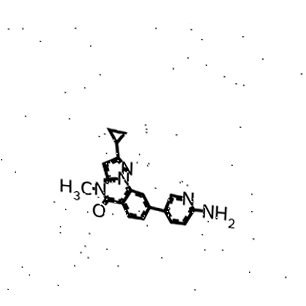 Cn1c(=O)c2ccc(-c3ccc(N)nc3)cc2n2nc(C3CC3)cc12